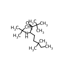 CCC(C)(C)CCC(NC(C)(C)C)C(=O)C(C)(C)C